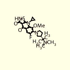 COc1c(N2CC[C@@H](C(C)(C)N(C)C)C2)c(F)cc2c(=O)c3c(=O)[nH]sc3n(C3CC3)c12